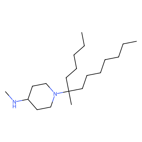 CCCCCCCC(C)(CCCCC)N1CCC(NC)CC1